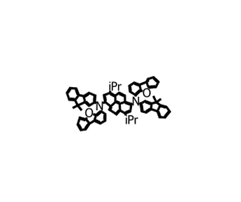 CC(C)c1cc(N(c2ccc3c(c2)C(C)(C)c2ccccc2-3)c2cccc3c2oc2ccccc23)c2ccc3c(C(C)C)cc(N(c4ccc5c(c4)C(C)(C)c4ccccc4-5)c4cccc5c4oc4ccccc45)c4ccc1c2c34